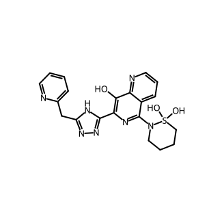 Oc1c(-c2nnc(Cc3ccccn3)[nH]2)nc(N2CCCCS2(O)O)c2cccnc12